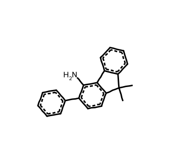 CC1(C)c2ccccc2-c2c1ccc(-c1ccccc1)c2N